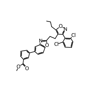 CCCc1onc(-c2c(Cl)cccc2Cl)c1CCc1nc2cc(-c3cccc(C(=O)OC)c3)ccc2o1